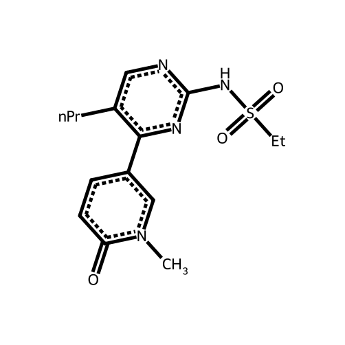 CCCc1cnc(NS(=O)(=O)CC)nc1-c1ccc(=O)n(C)c1